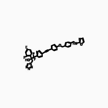 OC(Cn1cnnn1)(c1ccc(F)cc1F)C(F)(F)c1ccc(C#Cc2ccc(OCc3ccc(CNc4ncco4)cc3)cc2)cn1